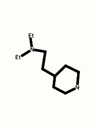 CCN(CC)CCC1CC[N]CC1